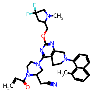 C=CC(=O)N1CCN(c2nc(OCC3CC(F)(F)CN3C)nc3c2CCN(c2cccc4cccc(C)c24)C3)CC1CC#N